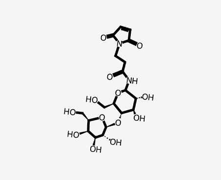 O=C(CCN1C(=O)C=CC1=O)NC1O[C@H](CO)[C@@H](O[C@@H]2O[C@H](CO)[C@H](O)[C@H](O)[C@H]2O)[C@H](O)[C@H]1O